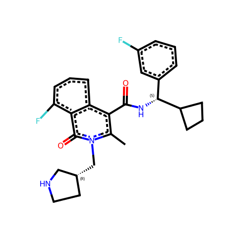 Cc1c(C(=O)N[C@H](c2cccc(F)c2)C2CCC2)c2cccc(F)c2c(=O)n1C[C@@H]1CCNC1